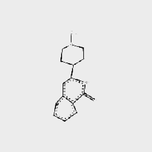 CN1CCC(c2cc3ccccc3c(=O)[nH]2)CC1